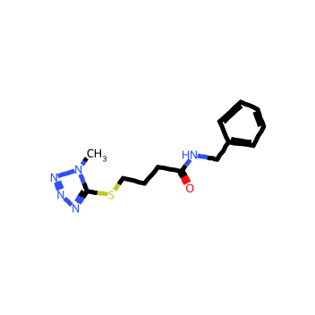 Cn1nnnc1SCCCC(=O)NCc1ccccc1